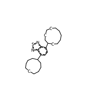 c1cc(C2CCCCCCCCC2)c2nsnc2c1C1CCCCCCCCCC1